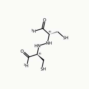 [3H]C(=O)[C@H](CS)NN[C@@H](CS)C([3H])=O